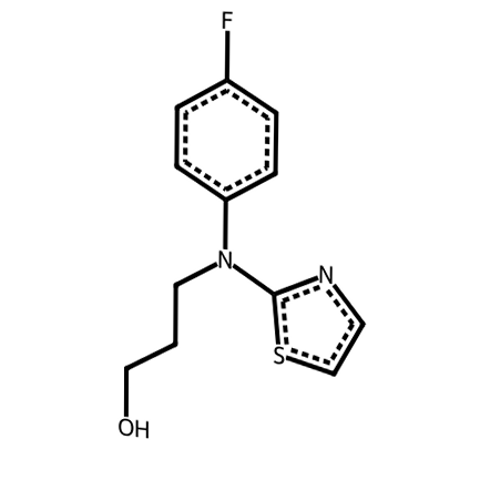 OCCCN(c1ccc(F)cc1)c1nccs1